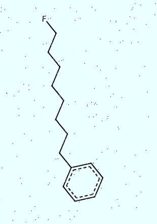 FCCCCCCCCc1[c]cccc1